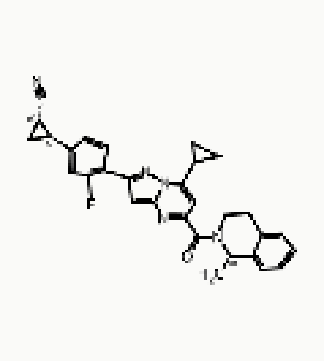 C[C@@H]1c2ccccc2CCN1C(=O)c1cc(C2CC2)n2nc(-c3ccc([C@H]4C[C@@H]4C#N)cc3F)cc2n1